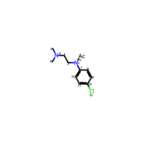 CC(=O)N(CCN(C)C)c1ccc(Cl)cc1